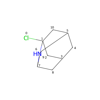 ClC12CC3CC(CC(C3)N1)C2